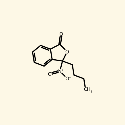 CCCCC1([N+](=O)[O-])OC(=O)c2ccccc21